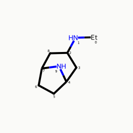 CCNC1CC2CCC(C1)N2